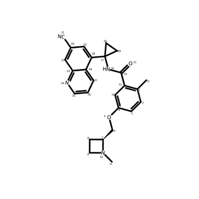 Cc1ccc(OC[C@@H]2CCN2C)cc1C(=O)NC1(c2cc(C#N)cc3ncccc23)CC1